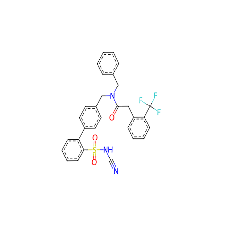 N#CNS(=O)(=O)c1ccccc1-c1ccc(CN(Cc2ccccc2)C(=O)Cc2ccccc2C(F)(F)F)cc1